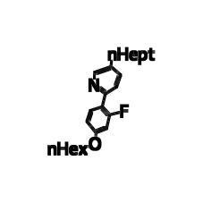 CCCCCCCc1ccc(-c2ccc(OCCCCCC)cc2F)nc1